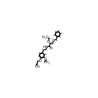 C#CCOc1ccc(CCNC(=O)C(COCc2ccccc2)OCC)cc1OC